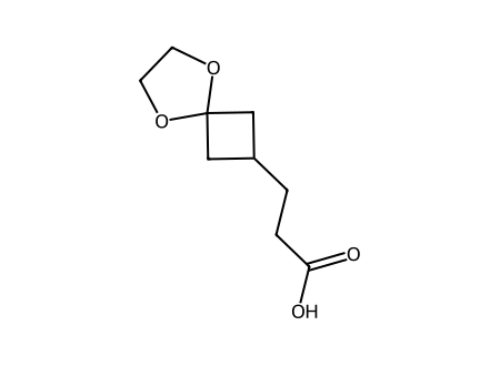 O=C(O)CCC1CC2(C1)OCCO2